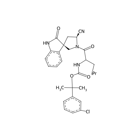 CC(C)CC(NC(=O)OC(C)(C)c1cccc(Cl)c1)C(=O)N1C[C@]2(C[C@H]1C#N)C(=O)Nc1ccccc12